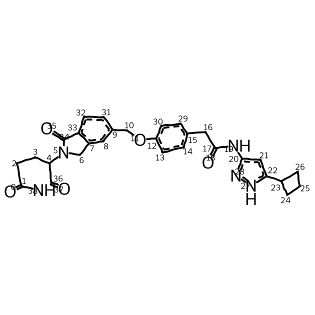 O=C1CCC(N2Cc3cc(COc4ccc(CC(=O)Nc5cc(C6CCC6)[nH]n5)cc4)ccc3C2=O)C(=O)N1